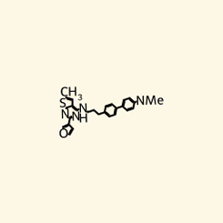 CNc1ccc(-c2ccc(CCCNc3nc(-c4ccoc4)nc4sc(C)cc34)cc2)cc1